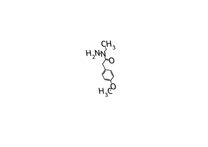 CCN(N)C(=O)Cc1ccc(OC)cc1